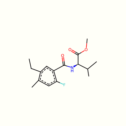 CCc1cc(C(=O)N[C@@H](C(=O)OC)C(C)C)c(F)cc1C